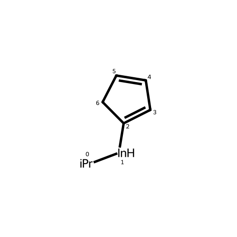 C[CH](C)[InH][C]1=CC=CC1